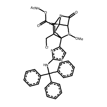 CON1C2C(=O)N3C(C(=O)ONC(C)=O)=C(CCl)C1(c1csc(NC(c4ccccc4)(c4ccccc4)c4ccccc4)n1)S[C@@H]23